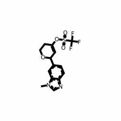 Cn1cnc2ccc(C3C=C(OS(=O)(=O)C(F)(F)F)CCO3)cc21